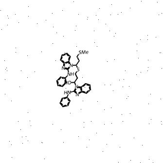 CSCCC(SCCC(O)n1c(Nc2ccccc2)nc2ccccc21)n1c(Nc2ccccc2)nc2ccccc21